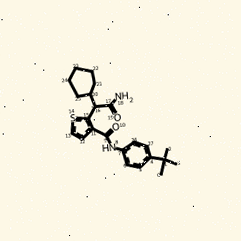 CC(C)(C)c1ccc(NC(=O)c2ccsc2[C](C(N)=O)C2CCCCC2)cc1